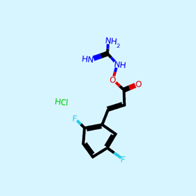 Cl.N=C(N)NOC(=O)/C=C/c1cc(F)ccc1F